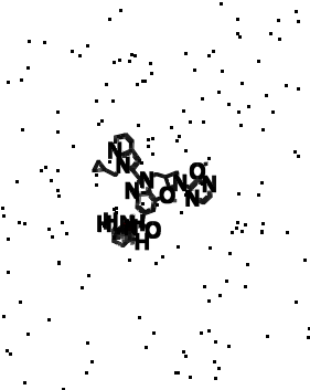 COc1nccnc1N1CC(Cn2c(-c3cc4cccnc4n3CC3CC3)nc3cc(C(=O)N4C[C@H]5CC[C@@H]4[C@@H]5N)cc(OC)c32)C1